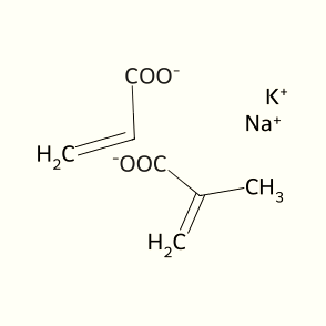 C=C(C)C(=O)[O-].C=CC(=O)[O-].[K+].[Na+]